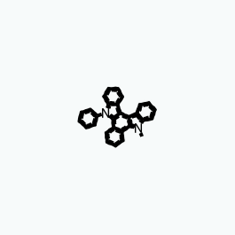 Cn1c2ccccc2c2c3c4ccccc4n(-c4ccccc4)c3c3ccccc3c21